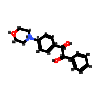 O=C(C(=O)c1ccc(N2CCOCC2)cc1)c1ccccc1